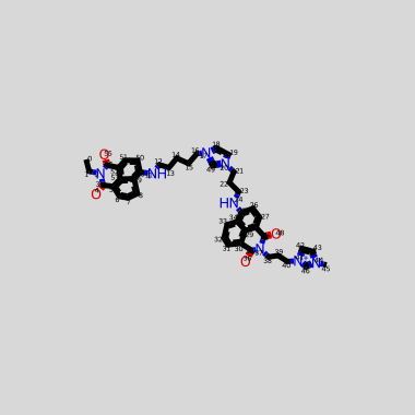 CCN1C(=O)c2cccc3c(NCCCCC[n+]4ccn(CCCNc5ccc6c7c(cccc57)C(=O)N(CCC[n+]5ccn(C)c5)C6=O)c4)ccc(c23)C1=O